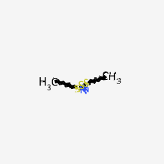 CCCCCCCCSc1nnc(SCCCCCCCC)s1